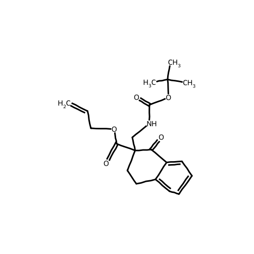 C=CCOC(=O)C1(CNC(=O)OC(C)(C)C)CCc2ccccc2C1=O